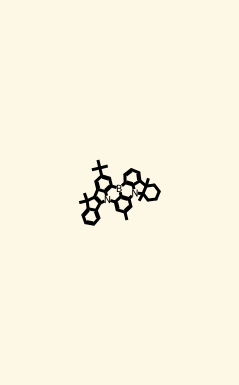 Cc1cc2c3c(c1)-n1c4c(c5cc(C(C)(C)C)cc(c51)B3c1cccc3c1N2C1(C)CCCCC31C)C(C)(C)c1ccccc1-4